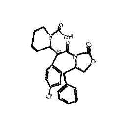 O=C(O)N1CCCCC1[C@@H](C(=O)N1C(=O)OCC1Cc1ccccc1)c1ccc(Cl)cc1